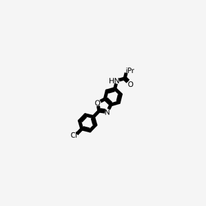 CC(C)C(=O)Nc1ccc2nc(-c3ccc(Cl)cc3)oc2c1